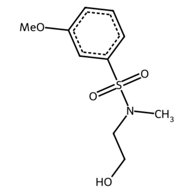 COc1cccc(S(=O)(=O)N(C)CCO)c1